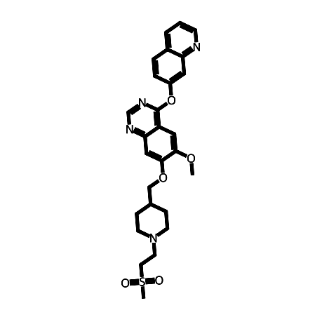 COc1cc2c(Oc3ccc4cccnc4c3)ncnc2cc1OCC1CCN(CCS(C)(=O)=O)CC1